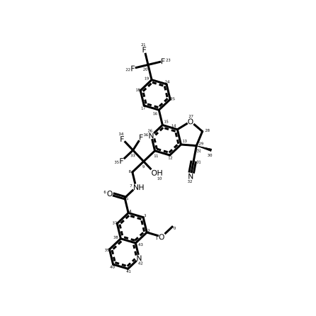 COc1cc(C(=O)NCC(O)(c2cc3c(c(-c4ccc(C(F)(F)F)cc4)n2)OC[C@]3(C)C#N)C(F)(F)F)cc2cccnc12